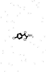 NC(Cl)C(=O)c1ccc(Cl)cc1